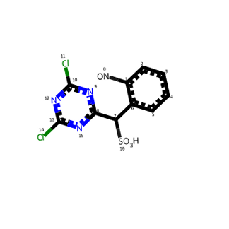 O=Nc1ccccc1C(c1nc(Cl)nc(Cl)n1)S(=O)(=O)O